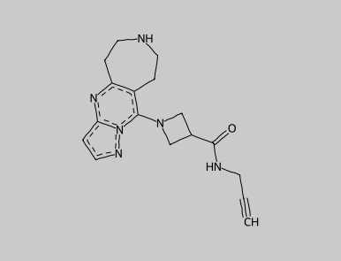 C#CCNC(=O)C1CN(c2c3c(nc4ccnn24)CCNCC3)C1